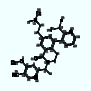 CCOc1cc(C(C)N2CCc3c(cc(CCN(C)CC)cc3-c3cccnc3C(F)F)C2=O)ncc1C#N